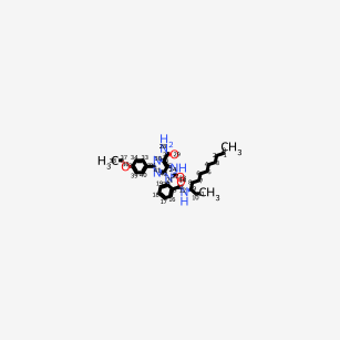 CCCCCCCCCC(CC)NC(=O)c1ccccc1-n1c(=O)[nH]c2c(C(N)=O)nc(-c3ccc(OCC)cc3)nc21